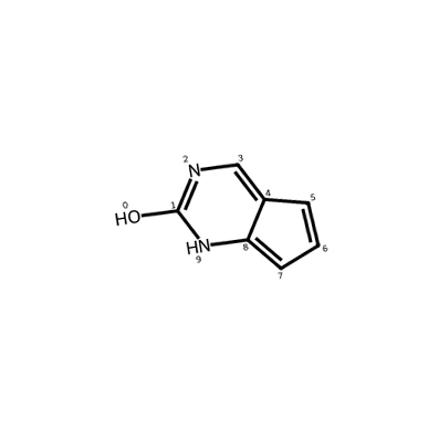 Oc1ncc2cccc-2[nH]1